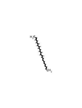 C=CCCCCCCCCC[CH]CCCCCCCCCC=CC